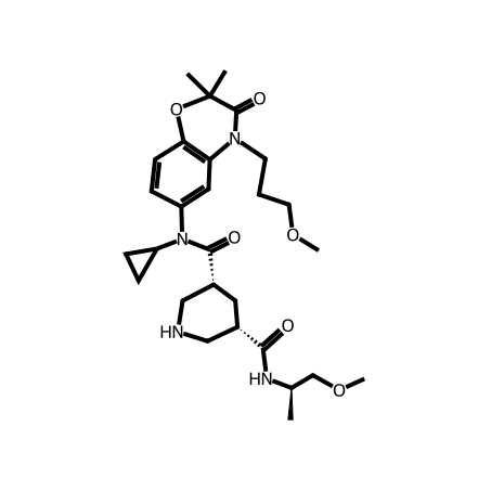 COCCCN1C(=O)C(C)(C)Oc2ccc(N(C(=O)[C@H]3CNC[C@@H](C(=O)N[C@H](C)COC)C3)C3CC3)cc21